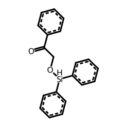 O=C(CO[SiH](c1ccccc1)c1ccccc1)c1ccccc1